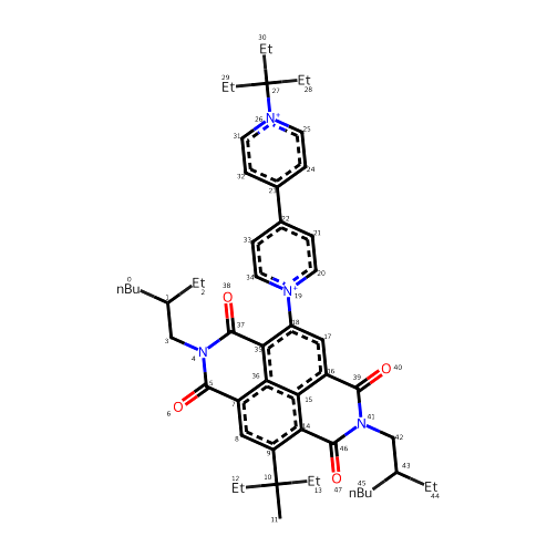 CCCCC(CC)CN1C(=O)c2cc(C(C)(CC)CC)c3c4c(cc(-[n+]5ccc(-c6cc[n+](C(CC)(CC)CC)cc6)cc5)c(c24)C1=O)C(=O)N(CC(CC)CCCC)C3=O